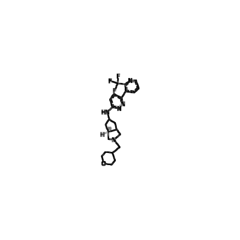 FC(F)(F)c1ncccc1-c1ccc(NC2CC3CN(CC4CCOCC4)C[C@H]3C2)nn1